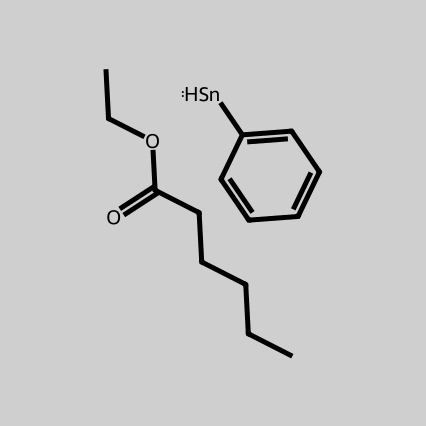 CCCCCC(=O)OCC.[SnH][c]1ccccc1